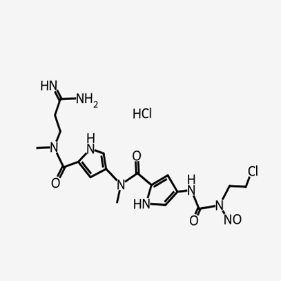 CN(CCC(=N)N)C(=O)c1cc(N(C)C(=O)c2cc(NC(=O)N(CCCl)N=O)c[nH]2)c[nH]1.Cl